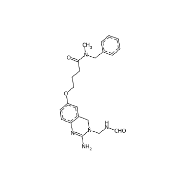 CN(Cc1ccccc1)C(=O)CCCOc1ccc2c(c1)CN(CNC=O)C(N)=N2